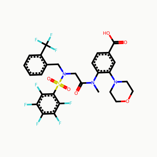 CN(C(=O)CN(Cc1ccccc1C(F)(F)F)S(=O)(=O)c1c(F)c(F)c(F)c(F)c1F)c1ccc(C(=O)O)cc1N1CCOCC1